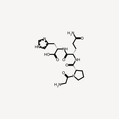 NCC(=O)N1CCC[C@H]1C(=O)N[C@@H](CCC(N)=O)C(=O)N[C@@H](Cc1c[nH]cn1)C(=O)O